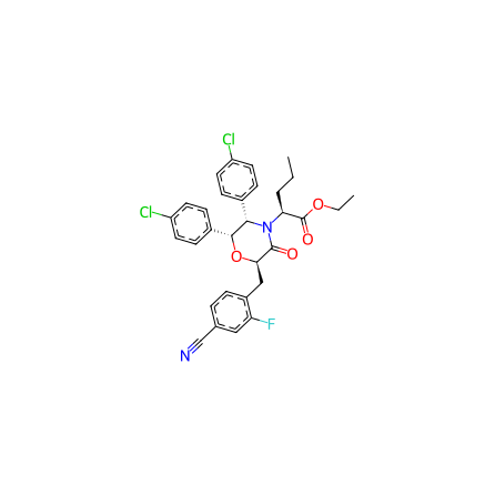 CCC[C@@H](C(=O)OCC)N1C(=O)[C@@H](Cc2ccc(C#N)cc2F)O[C@H](c2ccc(Cl)cc2)[C@@H]1c1ccc(Cl)cc1